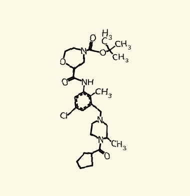 Cc1c(CN2CCN(C(=O)C3CCCC3)C(C)C2)cc(Cl)cc1NC(=O)C1CN(C(=O)OC(C)(C)C)CCO1